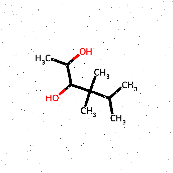 CC(O)C(O)C(C)(C)C(C)C